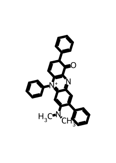 CN(C)c1cc2c(cc1-c1ccccc1)nc1c([n+]2-c2ccccc2)C=CC(c2ccccc2)C1=O